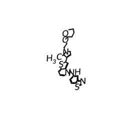 CC1C(C2C=C3C(=CC=CN3Nc3ccc4scnc4c3)S2)=CCN1CCOC1CCCCO1